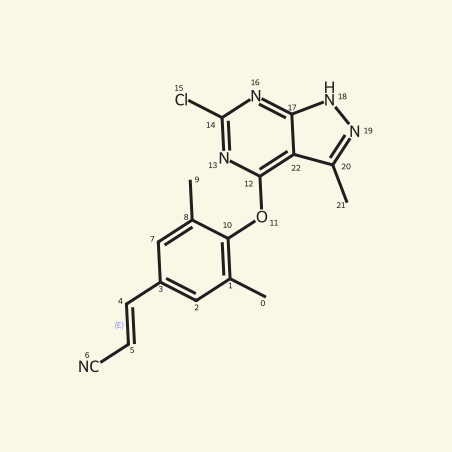 Cc1cc(/C=C/C#N)cc(C)c1Oc1nc(Cl)nc2[nH]nc(C)c12